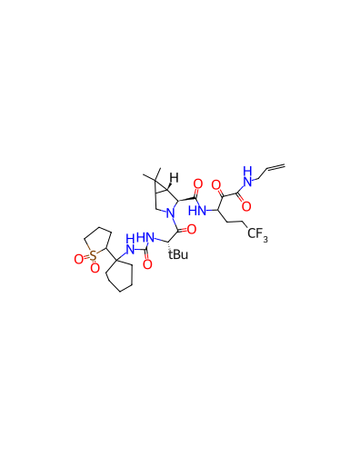 C=CCNC(=O)C(=O)C(CCC(F)(F)F)NC(=O)[C@@H]1[C@@H]2C(CN1C(=O)[C@@H](NC(=O)NC1(C3CCCS3(=O)=O)CCCCC1)C(C)(C)C)C2(C)C